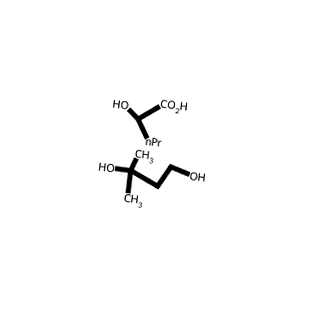 CC(C)(O)CCO.CCCC(O)C(=O)O